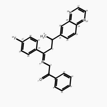 CC(C/C(=N\CC(=O)c1ccccc1)c1ccc(F)cc1)c1ccc2nccnc2c1